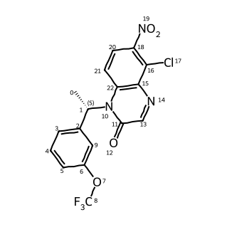 C[C@@H](c1cccc(OC(F)(F)F)c1)n1c(=O)cnc2c(Cl)c([N+](=O)[O-])ccc21